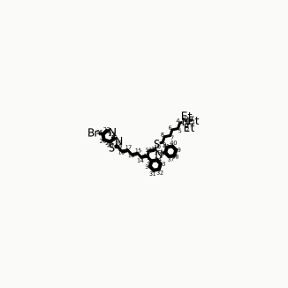 CC[N+](CC)(CC)CCCCCCSC1=CC(=CC=CC=Cc2nc3ncc(Br)cc3s2)c2ccccc2N1c1ccccc1